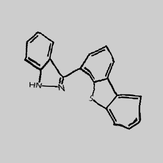 c1ccc2c(-c3cccc4c3sc3ccccc34)n[nH]c2c1